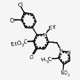 CCOC(=O)c1c(-c2ccc(Cl)c(Cl)c2)n(CC)c(Cn2ncc([N+](=O)[O-])c2C)cc1=O